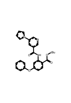 CC(C)(C)OC(=O)c1ccc(Oc2ccccc2)cc1NC(=O)c1cncc(-n2cccc2)c1